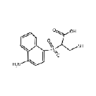 Nc1ccc(S(=O)(=O)C(CS)C(=O)O)c2ccccc12